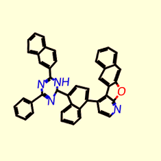 c1ccc(C2=NC(c3ccc(-c4ccnc5oc6cc7ccccc7cc6c45)c4ccccc34)NC(c3ccc4ccccc4c3)=N2)cc1